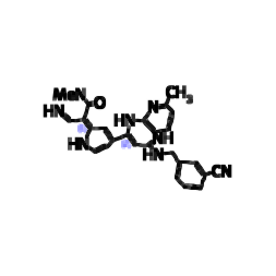 CNC(=O)/C(C=N)=C1C=C(/C(=C/C(=N)NCc2cccc(C#N)c2)Nc2cccc(C)n2)C=CN\1